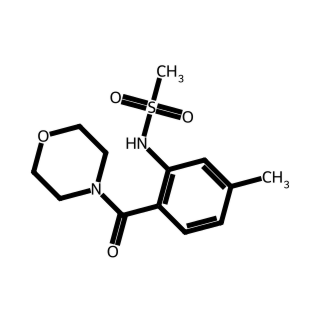 Cc1ccc(C(=O)N2CCOCC2)c(NS(C)(=O)=O)c1